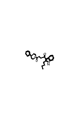 CCCCc1[nH]c2ccccc2c1C(=O)CCC(=O)N1CCC(c2ccccc2)CC1